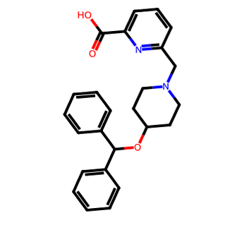 O=C(O)c1cccc(CN2CCC(OC(c3ccccc3)c3ccccc3)CC2)n1